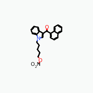 O=C(c1cccc2ccccc12)c1cn(CCCCCO[N+](=O)[O-])c2ccccc12